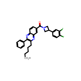 O=C(O)CCCCc1nc2cc(C(=O)N3CC(c4ccc(F)c(F)c4)C3)ccc2nc1-c1ccccc1